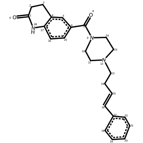 O=C1CCc2cc(C(=O)N3CCN(CC/C=C/c4ccccc4)CC3)ccc2N1